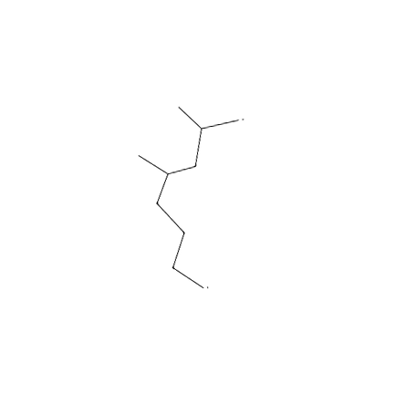 [CH2]CCCC(C)CC([CH2])C